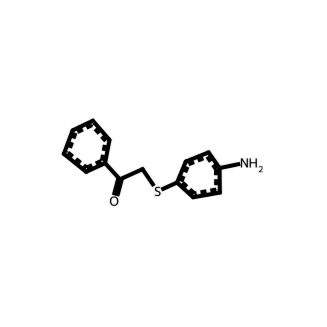 Nc1ccc(SCC(=O)c2ccccc2)cc1